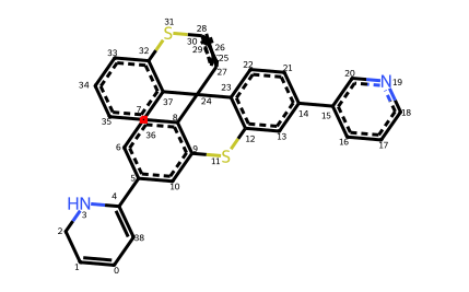 C1=CCNC(c2ccc3c(c2)Sc2cc(-c4cccnc4)ccc2C32c3ccccc3Sc3ccccc32)=C1